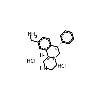 Cl.Cl.NCc1ccc2c(c1)[C@@H]1CNCCN1C[C@H]2c1ccccc1